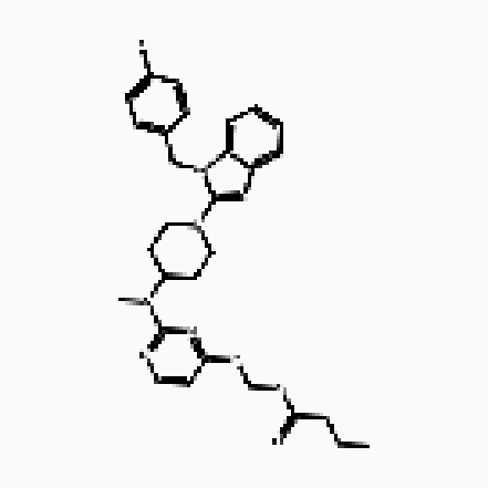 CCCC(=O)OCOc1ccnc(N(C)C2CCN(c3nc4ccccc4n3Cc3ccc(F)cc3)CC2)n1